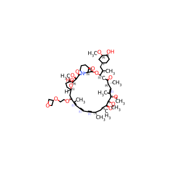 CO[C@@H]1/C(C)=C/[C@@H](C)C(=O)C[C@@H]([C@H](C)C[C@@H]2CC[C@@H](O)[C@H](OC)C2)OC(=O)[C@@H]2CCCCN2C(=O)C(=O)[C@]2(O)O[C@@H](CC[C@H]2C)C[C@H](OCCOC2COC2)/C(C)=C/C=C/C=C/[C@@H](C)C[C@@H](C)C(=O)[C@@H]1OC